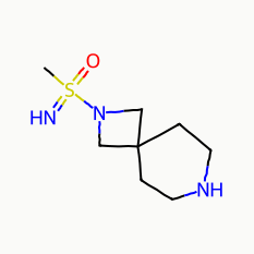 CS(=N)(=O)N1CC2(CCNCC2)C1